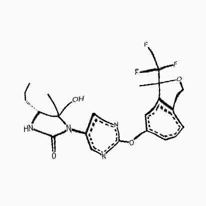 CC[C@H]1NC(=O)N(c2cnc(Oc3ccc4c(c3)C(C)(C(F)(F)F)OC4)nc2)C1(C)O